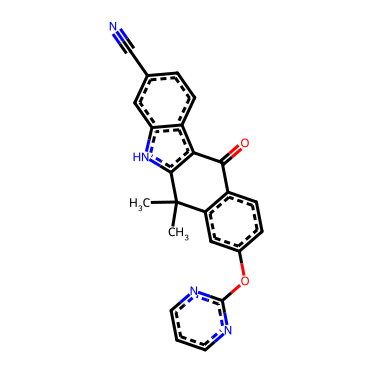 CC1(C)c2cc(Oc3ncccn3)ccc2C(=O)c2c1[nH]c1cc(C#N)ccc21